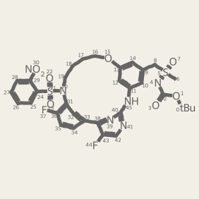 CC(C)(C)OC(=O)N=S(C)(=O)Cc1cc2cc(c1)OCCCCN(S(=O)(=O)c1ccccc1[N+](=O)[O-])c1cc(ccc1F)-c1nc(ncc1F)N2